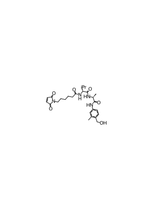 Cc1cc(NC(=O)[C@H](C)NC(=O)[C@@H](NC(=O)CCCCCN2C(=O)C=CC2=O)C(C)C)ccc1CO